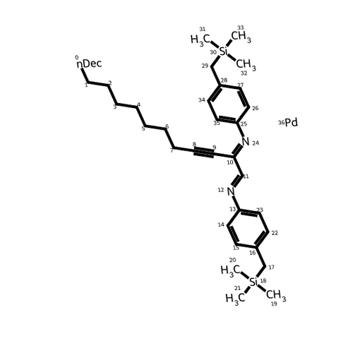 CCCCCCCCCCCCCCCCCC#CC(/C=N/c1ccc(C[Si](C)(C)C)cc1)=N\c1ccc(C[Si](C)(C)C)cc1.[Pd]